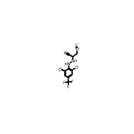 [C-]#[N+]CC(C#N)NNc1c(Cl)cc(C(F)(F)F)cc1Cl